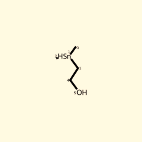 [CH3][SnH]([CH3])[CH2]CO